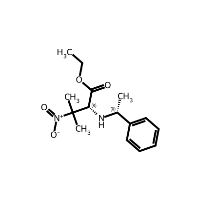 CCOC(=O)[C@H](N[C@H](C)c1ccccc1)C(C)(C)[N+](=O)[O-]